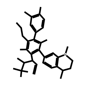 C=CC(c1c(C)c(CCC)c(-c2ccc(C)c(C)c2)c(C)c1-c1ccc2c(c1)N(C)CCC2C)C(C)C(C)(C)C